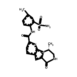 Cc1ccc(NC(=O)c2ccc3cc4n(c3n2)[C@H](C)CNC4=O)c(S(N)(=O)=O)c1